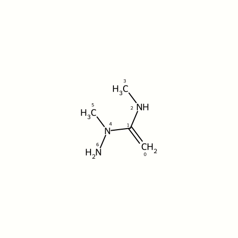 C=C(NC)N(C)N